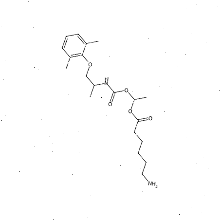 Cc1cccc(C)c1OCC(C)NC(=O)OC(C)OC(=O)CCCCCN